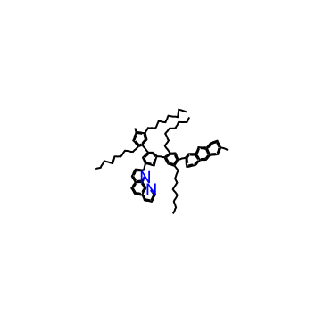 CCCCCCCCc1cc(-c2cc(-c3ccc4ccc5cccnc5c4n3)cc(-c3cc(CCCCCCCC)c(-c4ccc5cc6cc(C)ccc6cc5c4)cc3CCCCCCCC)c2)c(CCCCCCCC)cc1C